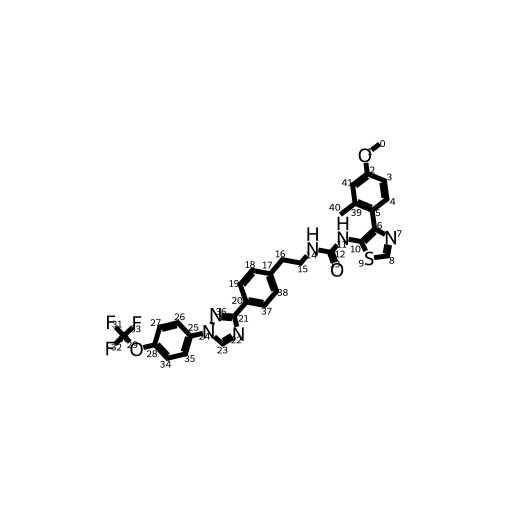 COc1ccc(-c2ncsc2NC(=O)NCCc2ccc(-c3ncn(-c4ccc(OC(F)(F)F)cc4)n3)cc2)c(C)c1